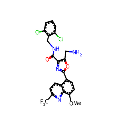 COc1ccc(-c2nc(C(=O)NCc3c(Cl)cccc3Cl)c(CN)o2)c2ccc(C(F)(F)F)nc12